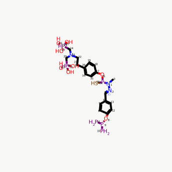 CN(/N=C/c1ccc(OP(P)P)cc1)P(S)Oc1ccc(CCN(C[PH](O)(O)O)C[PH](O)(O)O)cc1